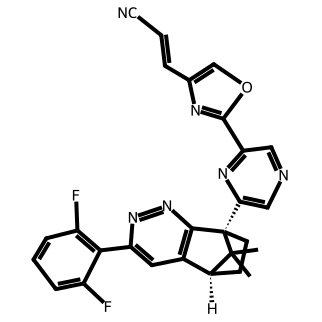 CC1(C)[C@H]2CC[C@]1(c1cncc(-c3nc(/C=C/C#N)co3)n1)c1nnc(-c3c(F)cccc3F)cc12